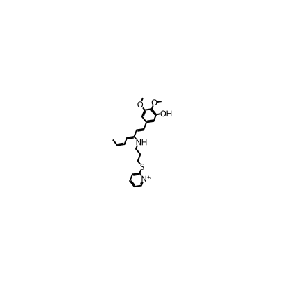 C\C=C/C=C(/C=C/c1cc(O)c(OC)c(OC)c1)NCCCSc1cccc[n+]1C